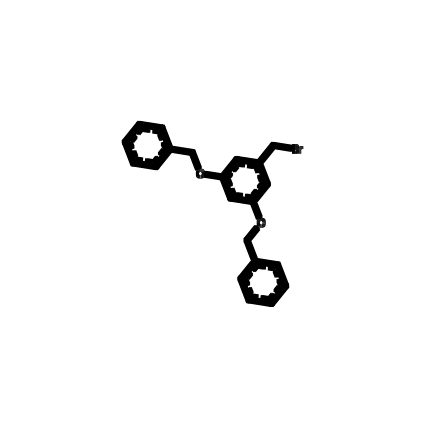 BrCc1cc(OCc2ccccc2)cc(OCc2ccccc2)c1